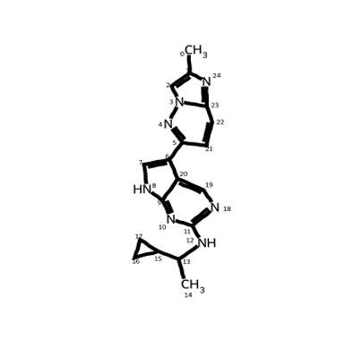 Cc1cn2nc(-c3c[nH]c4nc(NC(C)C5CC5)ncc34)ccc2n1